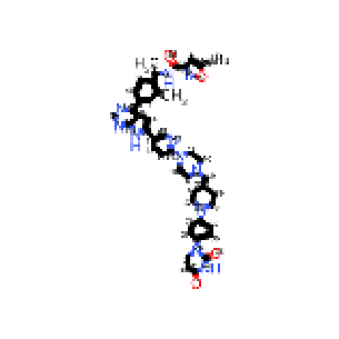 Cc1cc(-c2ncnc3[nH]c(-c4ccc(N5CCN(CC6CCN(c7ccc(N8CCC(=O)NC8=O)cc7)CC6)CC5)nc4)cc23)ccc1[C@@H](C)NC(=O)c1cc(C(C)(C)C)on1